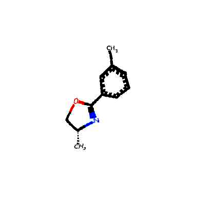 Cc1cccc(C2=N[C@H](C)CO2)c1